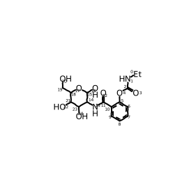 CCNC(=O)Oc1ccccc1C(=O)NC1C(O)OC(CO)C(O)C1O